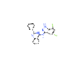 Fc1cc(F)c2[nH]nc(Nc3nc(-c4ccccc4)nc4ccccc34)c2c1